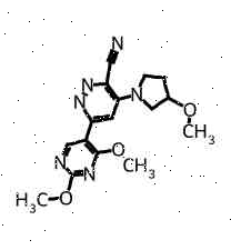 COc1ncc(-c2cc(N3CCC(OC)C3)c(C#N)nn2)c(OC)n1